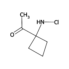 CC(=O)C1(NCl)CCC1